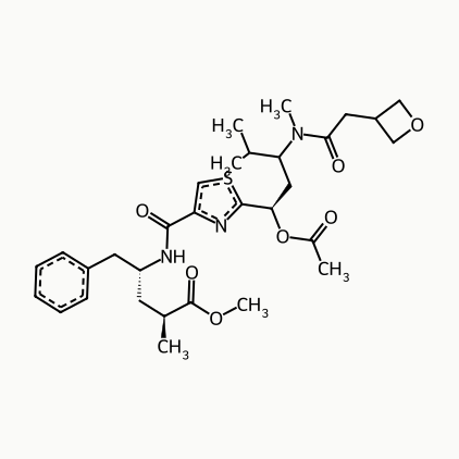 COC(=O)[C@@H](C)C[C@H](Cc1ccccc1)NC(=O)c1csc([C@@H](CC(C(C)C)N(C)C(=O)CC2COC2)OC(C)=O)n1